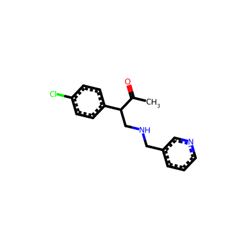 CC(=O)C(CNCc1cccnc1)c1ccc(Cl)cc1